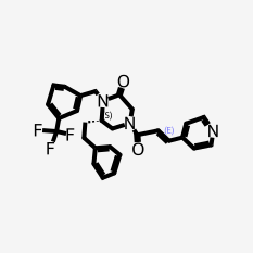 O=C(/C=C/c1ccncc1)N1CC(=O)N(Cc2cccc(C(F)(F)F)c2)[C@@H](CCc2ccccc2)C1